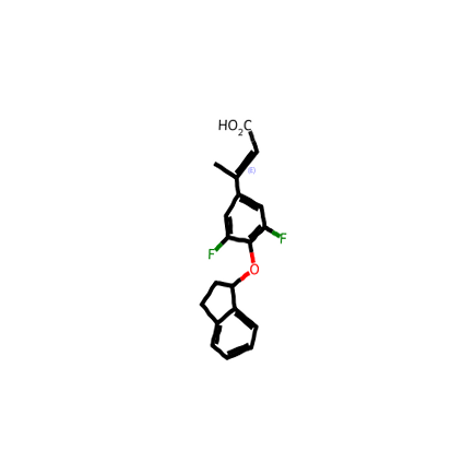 C/C(=C\C(=O)O)c1cc(F)c(OC2CCc3ccccc32)c(F)c1